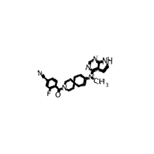 CN(c1ncnc2[nH]ccc12)C1CCC2(CC1)CCN(C(=O)c1ccc(C#N)cc1F)CC2